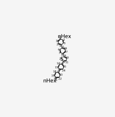 CCCCCCc1ccc(-c2ccc(-c3ccc(-c4ccc(-c5ccc(CCCCCC)cc5)cc4)s3)cc2)cc1